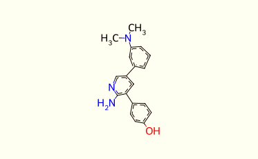 CN(C)c1cccc(-c2cnc(N)c(-c3ccc(O)cc3)c2)c1